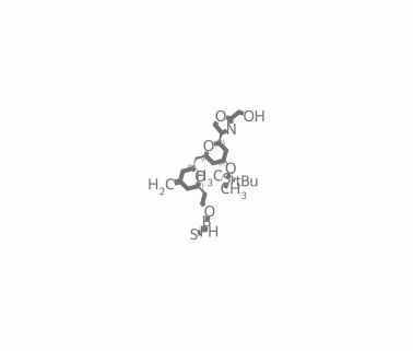 C=C1C[C@H](C[C@@H]2C[C@@H](O[Si](C)(C)C(C)(C)C)C[C@H](C3COC(CO)=N3)O2)O[C@@H](CCOB=[PH]=S)C1